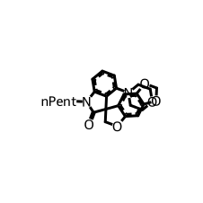 CCCCCN1C(=O)C2(COc3cc4c(cc32)OCO4)c2c(N3CCOCC3)cccc21